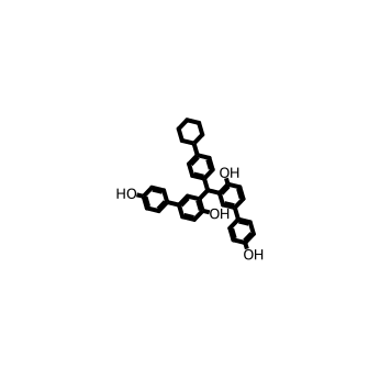 Oc1ccc(-c2ccc(O)c(C(c3ccc(C4CCCCC4)cc3)c3cc(-c4ccc(O)cc4)ccc3O)c2)cc1